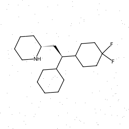 FC1(F)CCC([C@H](C[C@H]2CCCCN2)C2CCCCC2)CC1